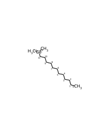 CCCCCCCCCCC[CH2][Ge]([CH3])[CH3]